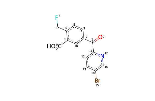 O=C(c1ccc(CF)c(C(=O)O)c1)c1ccc(Br)cn1